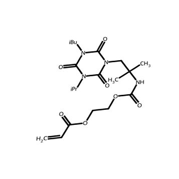 C=CC(=O)OCCOC(=O)NC(C)(C)Cn1c(=O)n(C(C)C)c(=O)n(C(C)CC)c1=O